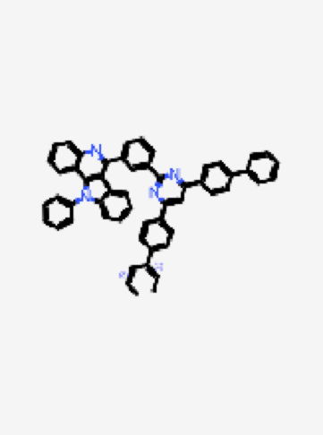 C/C=C\C(=C/C)c1ccc(-c2cc(-c3ccc(-c4ccccc4)cc3)nc(-c3cccc(-c4nc5ccccc5c5c4c4ccccc4n5-c4ccccc4)c3)n2)cc1